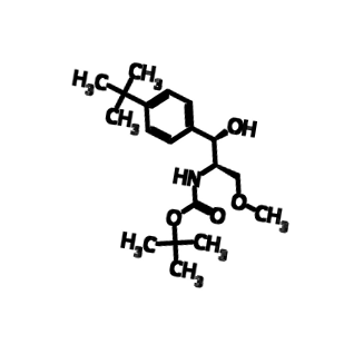 COC[C@@H](NC(=O)OC(C)(C)C)[C@H](O)c1ccc(C(C)(C)C)cc1